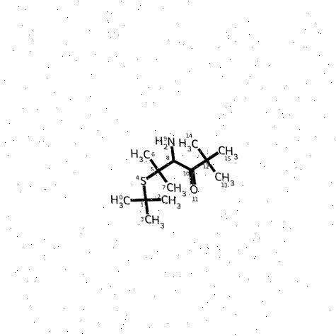 CC(C)(C)SC(C)(C)C(N)C(=O)C(C)(C)C